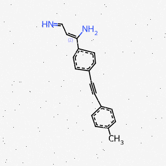 Cc1ccc(C#Cc2ccc(/C(N)=C/C=N)cc2)cc1